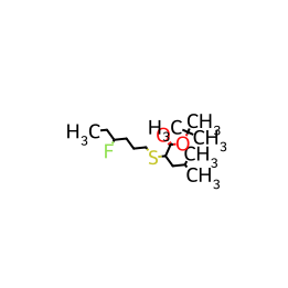 CCC(F)CCCSC(CC(C)C)C(=O)OC(C)(C)C